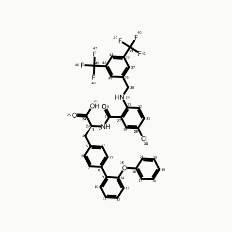 O=C(N[C@@H](Cc1ccc(-c2ccccc2Oc2ccccc2)cc1)C(=O)O)c1cc(Cl)ccc1NCc1cc(C(F)(F)F)cc(C(F)(F)F)c1